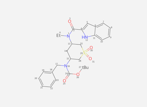 CCN(C(=O)c1cc2ccccc2[nH]1)C1CC(N(Cc2ccccc2)C(=O)OC(C)(C)C)CS(=O)(=O)C1